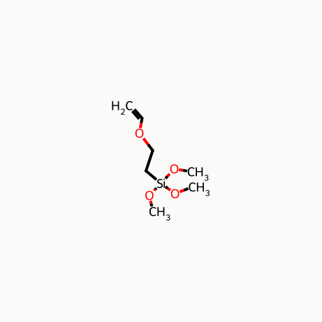 C=COCC[Si](OC)(OC)OC